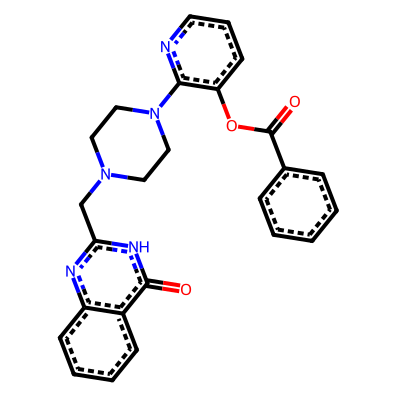 O=C(Oc1cccnc1N1CCN(Cc2nc3ccccc3c(=O)[nH]2)CC1)c1ccccc1